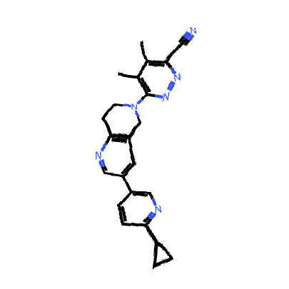 Cc1c(C#N)nnc(N2CCc3ncc(-c4ccc(C5CC5)nc4)cc3C2)c1C